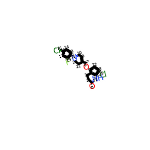 O=C1CCc2c(OCC3=CCN(c4ccc(Cl)cc4F)CC3)ccc(Cl)c2N1